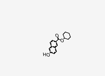 O=C(OC1CCCCC1)c1ccc2cc(O)ccc2c1